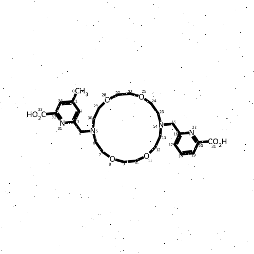 Cc1cc(CN2CCOCCOCCN(Cc3cccc(C(=O)O)n3)CCOCCOCC2)nc(C(=O)O)c1